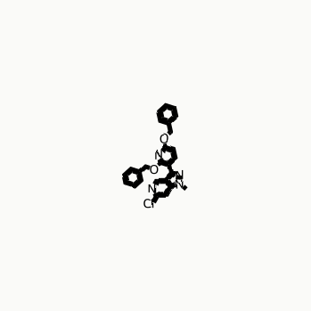 Cn1nc(-c2ccc(OCc3ccccc3)nc2OCc2ccccc2)c2cnc(Cl)cc21